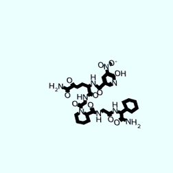 NC(=O)C(=O)CCC(NC(=O)c1cnc(O)c([N+](=O)[O-])c1)C(=O)NCC(=O)N1CCCCC1C(=O)NCC(=O)NC(C(N)=O)C1CCCCC1